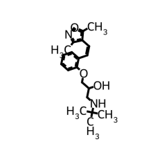 Cc1noc(C)c1/C=C\c1ccccc1OCC(O)CNC(C)(C)C